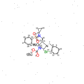 CC(C)(C)OC(=O)N1C[C@@H](Cc2ccccc2Br)[C@H](CN(C2CC2)S(=O)(=O)c2ccccc2[N+](=O)[O-])C1